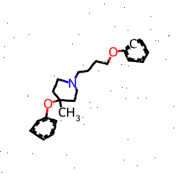 CC1(Oc2ccccc2)CCN(CCCCOc2ccccc2)CC1